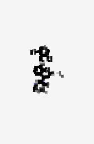 C/C=N\C(=C(/C)F)c1cc(C)nc2c(OCc3c(Cl)cncc3Cl)cccc12